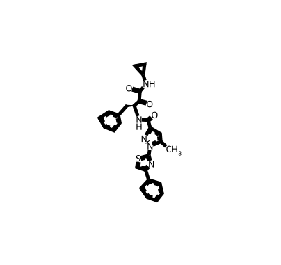 Cc1cc(C(=O)N[C@@H](Cc2ccccc2)C(=O)C(=O)NC2CC2)nn1-c1nc(-c2ccccc2)cs1